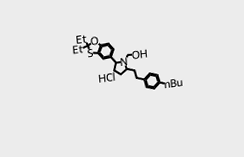 CCCCc1ccc(CCC2CCC(c3ccc4c(c3)SC(CC)(CC)O4)N2CO)cc1.Cl